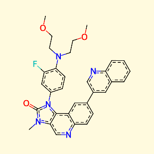 COCCN(CCOC)c1ccc(-n2c(=O)n(C)c3cnc4ccc(-c5cnc6ccccc6c5)cc4c32)cc1F